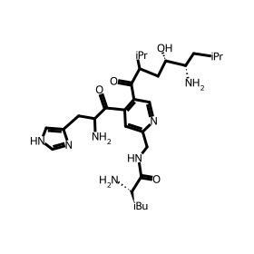 CC[C@H](C)[C@H](N)C(=O)NCc1cc(C(=O)C(N)Cc2c[nH]cn2)c(C(=O)C(C[C@H](O)[C@@H](N)CC(C)C)C(C)C)cn1